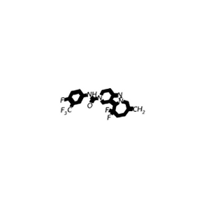 C=C1CCC(F)(F)c2c3c(nn2C1)CCN(C(=O)Nc1ccc(F)c(C(F)(F)F)c1)C3